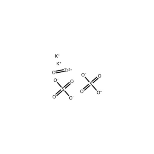 O=S(=O)([O-])[O-].O=S(=O)([O-])[O-].[K+].[K+].[O]=[Zr+2]